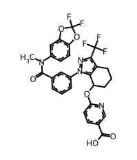 CN(C(=O)c1cccc(-n2nc(C(F)(F)F)c3c2C(Oc2ccc(C(=O)O)cn2)CCC3)c1)c1ccc2c(c1)OC(F)(F)O2